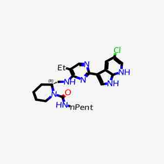 CCCCCNC(=O)N1CCCC[C@@H]1CNc1nc(C2=CNC3NC=C(Cl)C=C23)ncc1CC